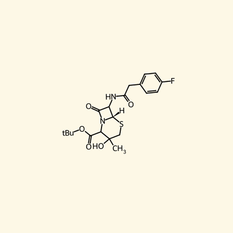 CC(C)(C)OC(=O)C1N2C(=O)C(NC(=O)Cc3ccc(F)cc3)[C@@H]2SCC1(C)O